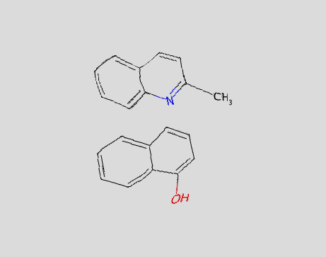 Cc1ccc2ccccc2n1.Oc1cccc2ccccc12